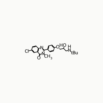 Cn1c(-c2ccc(OCC(O)CNC(C)(C)C)cc2)nc2ccc(Cl)cc2c1=O